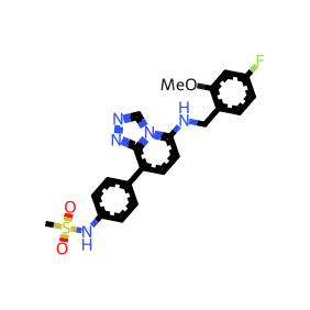 COc1cc(F)ccc1CNc1ccc(-c2ccc(NS(C)(=O)=O)cc2)c2nncn12